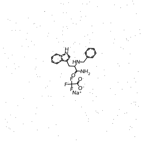 NC(=O)C(Cc1c[nH]c2ccccc12)NCc1ccccc1.O=C([O-])C(F)(F)F.[Na+]